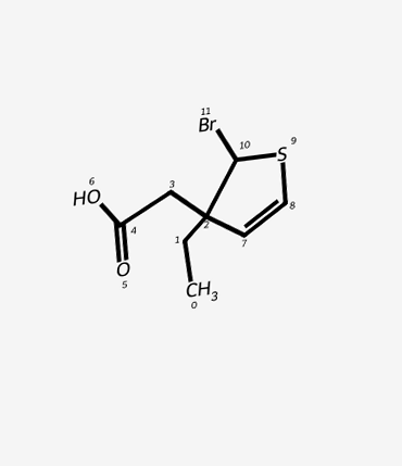 CCC1(CC(=O)O)C=CSC1Br